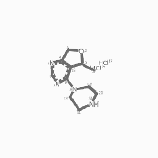 CC1OCc2ncnc(N3CCNCC3)c21.Cl.Cl